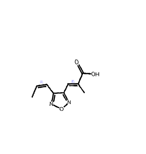 C/C=C\c1nonc1/C=C(\C)C(=O)O